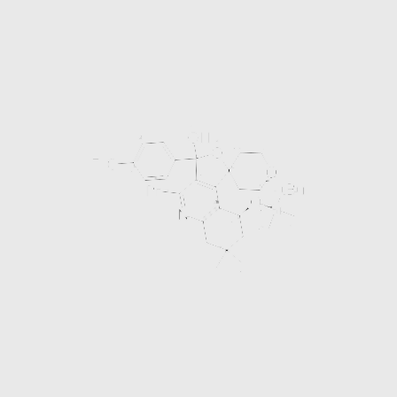 CC(C)c1nc2c(c3c1C(O)(c1ccc(C(F)(F)F)cc1)OC31CCOCC1)[C@@H](O[Si](C)(C)C(C)(C)C)CC(C)(C)C2